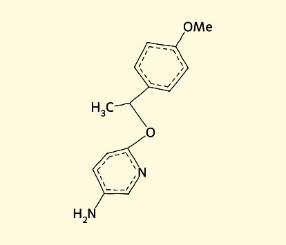 COc1ccc(C(C)Oc2ccc(N)cn2)cc1